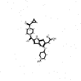 CC(C)N1CCC(Oc2cc3cc(C(=O)N4CCN(C(=O)C5CC5)CC4)[nH]c3cc2CC(O)Br)CC1